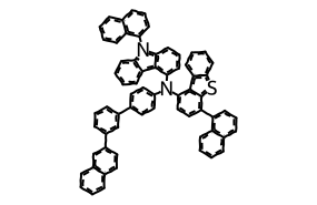 c1cc(-c2ccc(N(c3ccc(-c4cccc5ccccc45)c4sc5ccccc5c34)c3cccc4c3c3ccccc3n4-c3cccc4ccccc34)cc2)cc(-c2ccc3ccccc3c2)c1